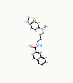 CCN(CCCCNC(=O)c1ccc2ccccc2c1)C1CCc2ncsc2C1